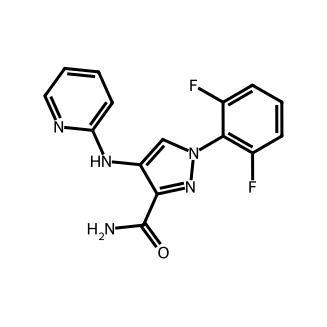 NC(=O)c1nn(-c2c(F)cccc2F)cc1Nc1ccccn1